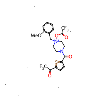 COc1ccccc1C[N+]1(OC(=O)C(F)(F)F)CCN(C(=O)c2ccc(C(=O)C(F)(F)F)s2)CC1